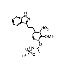 CCCS(=O)(=O)NC(C)Oc1ccc(C=Cc2n[nH]c3ccccc23)c([N+](=O)[O-])c1OC